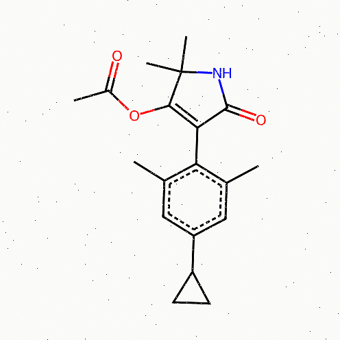 CC(=O)OC1=C(c2c(C)cc(C3CC3)cc2C)C(=O)NC1(C)C